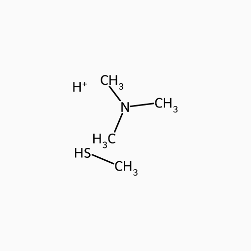 CN(C)C.CS.[H+]